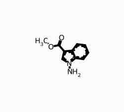 COC(=O)c1cn(N)c2ccccc12